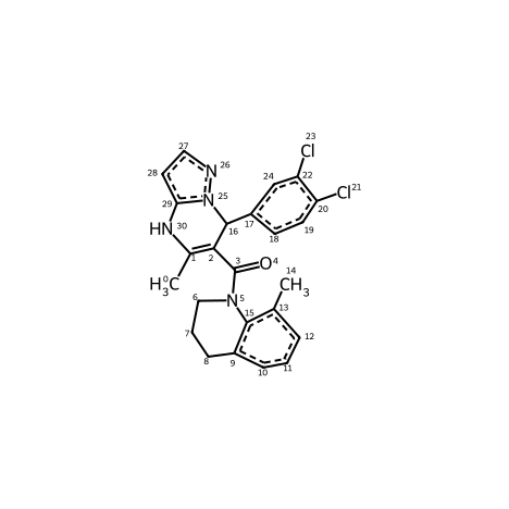 CC1=C(C(=O)N2CCCc3cccc(C)c32)C(c2ccc(Cl)c(Cl)c2)n2nccc2N1